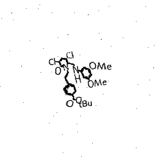 COc1cc(NCc2c(Cl)cc(Cl)c(=O)n2CCc2ccc(C(=O)OC(C)(C)C)cc2)cc(OC)c1